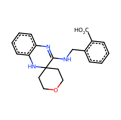 O=C(O)c1ccccc1CNC1=Nc2ccccc2NC12CCOCC2